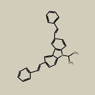 CC(C)n1c2ccc(/C=C/c3ccccc3)cc2c2cc(/C=C/c3ccccc3)ccc21